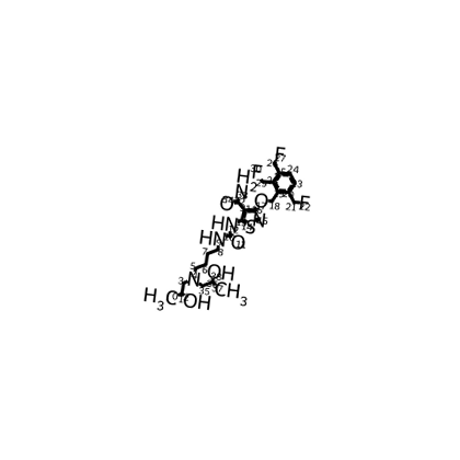 CC(O)CN(CCCCNC(=O)Nc1snc(OCc2c(CF)ccc(CF)c2CF)c1C(N)=O)CC(C)O